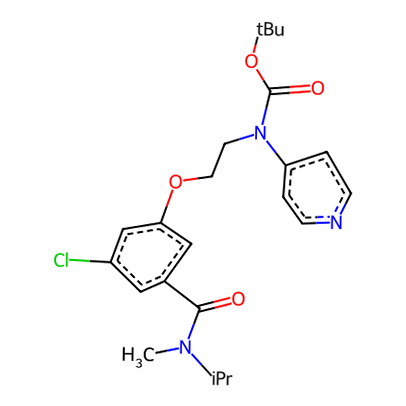 CC(C)N(C)C(=O)c1cc(Cl)cc(OCCN(C(=O)OC(C)(C)C)c2ccncc2)c1